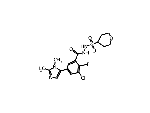 Cc1ncc(-c2cc(Cl)c(F)c(C(=O)NNS(=O)(=O)C3CCOCC3)c2)n1C